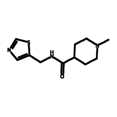 CN1CCC(C(=O)NCc2cncs2)CC1